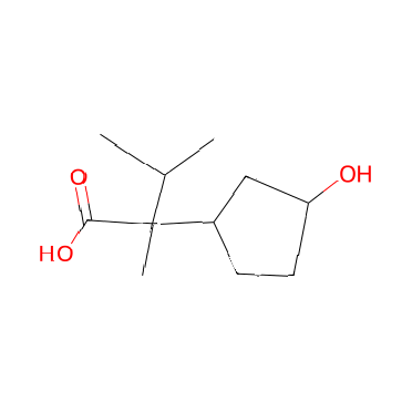 CC(C)C(C)(C(=O)O)C1CCC(O)C1